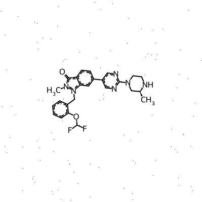 C[C@H]1CN(c2ncc(-c3ccc4c(=O)n(C)n(Cc5ccccc5OC(F)F)c4c3)cn2)CCN1